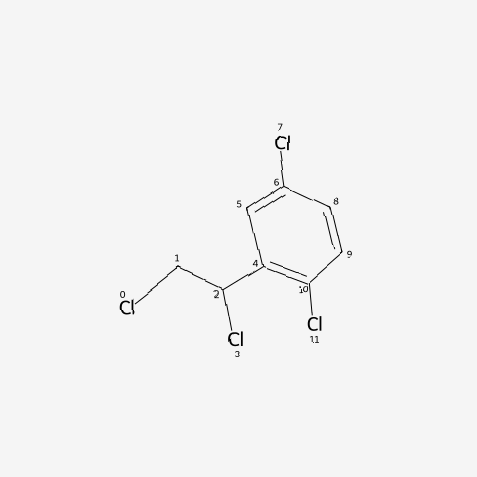 ClCC(Cl)c1cc(Cl)ccc1Cl